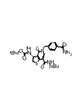 CCCCNC(=O)c1cn(Cc2ccc(C(N)=O)cc2)c(=O)c2c1SC[C@@H]2NC(=O)OC(C)(C)C